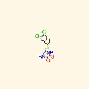 O=c1[nH]cc(CSc2ccc3cc(Cl)c(Cl)cc3c2)[nH]c1=O